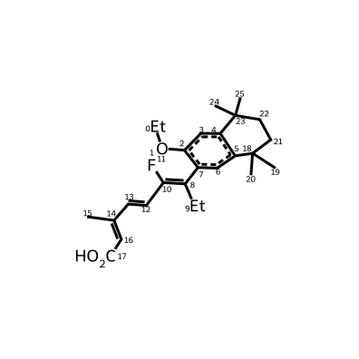 CCOc1cc2c(cc1C(CC)=C(F)C=CC(C)=CC(=O)O)C(C)(C)CCC2(C)C